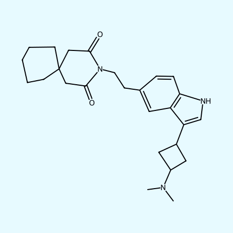 CN(C)C1CC(c2c[nH]c3ccc(CCN4C(=O)CC5(CCCCC5)CC4=O)cc23)C1